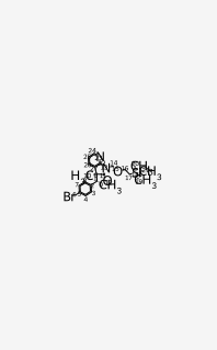 C[C@H](c1ccc(Br)cc1)[C@@]1(C)C(=O)N(COCC[Si](C)(C)C)c2ncccc21